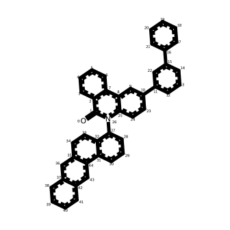 O=c1c2ccccc2c2cc(-c3cccc(-c4ccccc4)c3)ccc2n1-c1cccc2c1ccc1cc3ccccc3cc12